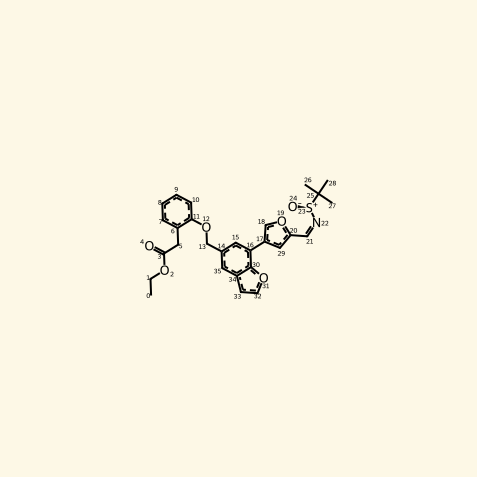 CCOC(=O)Cc1ccccc1OCc1cc(-c2coc(/C=N\[S@@+]([O-])C(C)(C)C)c2)c2occc2c1